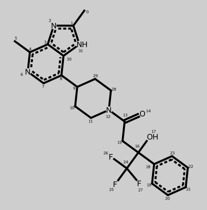 Cc1nc2c(C)ncc(C3CCN(C(=O)CC(O)(c4ccccc4)C(F)(F)F)CC3)c2[nH]1